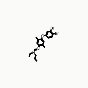 CCCN(C=Nc1cc(C)c(Oc2ccc(Br)c(Br)c2)cc1C)CC